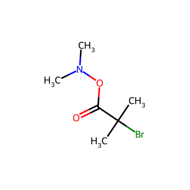 CN(C)OC(=O)C(C)(C)Br